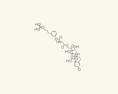 C[C@]12C=CC(=O)C=C1CC[C@H]1[C@@H]3CC(O)[C@](O)(C(=O)COC(=O)CNC(=O)Oc4cccc(CCCON(O)O)c4)[C@@]3(C)C[C@H](O)[C@@]12F